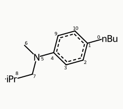 CCCCc1ccc(N(C)C[C](C)C)cc1